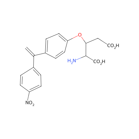 C=C(c1ccc(OC(CC(=O)O)C(N)C(=O)O)cc1)c1ccc([N+](=O)[O-])cc1